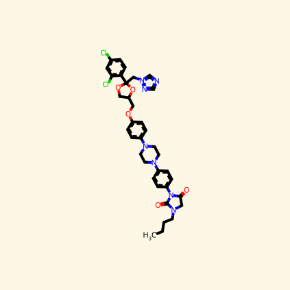 CCCCN1CC(=O)N(c2ccc(N3CCN(c4ccc(OCC5COC(Cn6cncn6)(c6ccc(Cl)cc6Cl)O5)cc4)CC3)cc2)C1=O